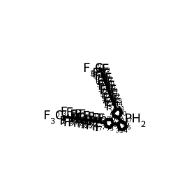 FC(F)(F)C(F)(F)C(F)(F)C(F)(F)C(F)(F)C(F)(F)C(F)(F)C(F)(F)C(F)(F)C(F)(F)c1ccc(-c2cccc(P)c2-c2ccc(C(F)(F)C(F)(F)C(F)(F)C(F)(F)C(F)(F)C(F)(F)C(F)(F)C(F)(F)C(F)(F)C(F)(F)F)cc2)cc1